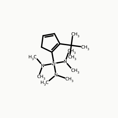 C[N](C)[Zr]([C]1=C(C(C)(C)C)C=CC1)([N](C)C)[N](C)C